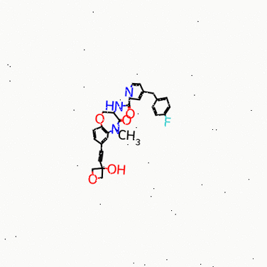 CN1C(=O)C(NC(=O)c2cc(Cc3ccc(F)cc3)ccn2)COc2ccc(C#CC3(O)COC3)cc21